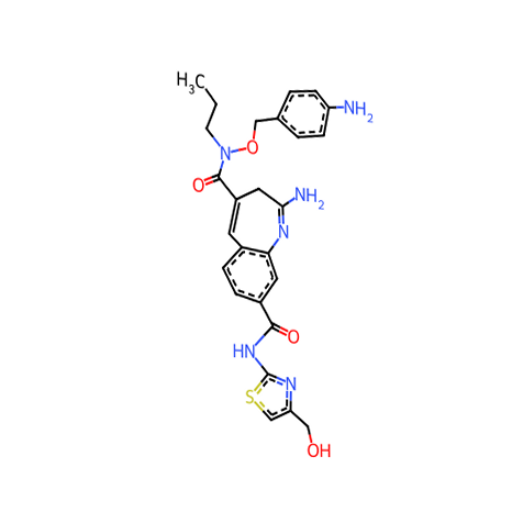 CCCN(OCc1ccc(N)cc1)C(=O)C1=Cc2ccc(C(=O)Nc3nc(CO)cs3)cc2N=C(N)C1